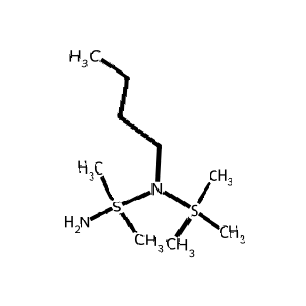 CCCCN(S(C)(C)C)S(C)(C)N